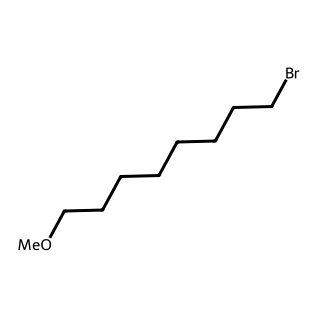 COCCCCCCCCBr